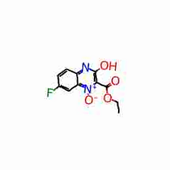 CCOC(=O)c1c(O)nc2ccc(F)cc2[n+]1[O-]